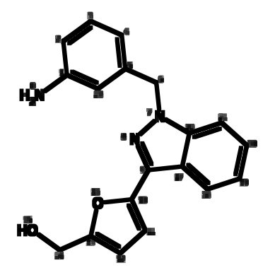 Nc1cccc(Cn2nc(-c3ccc(CO)o3)c3ccccc32)c1